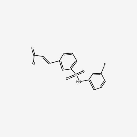 O=C(Cl)C=Cc1cccc(S(=O)(=O)Nc2cccc(F)c2)c1